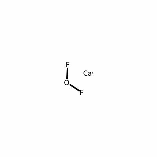 FOF.[Ca]